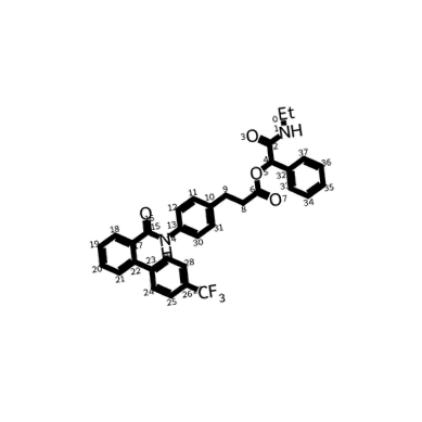 CCNC(=O)C(OC(=O)CCc1ccc(NC(=O)c2ccccc2-c2ccc(C(F)(F)F)cc2)cc1)c1ccccc1